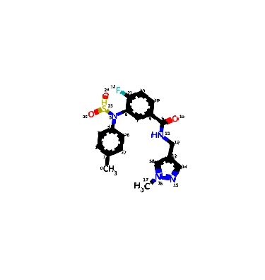 Cc1ccc(N(c2cc(C(=O)NCc3cnn(C)c3)ccc2F)[SH](=O)=O)cc1